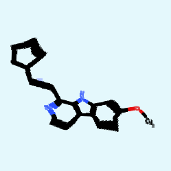 COc1ccc2c3c([nH]c2c1)C(/C=C/C1CCCC1)=NCC3